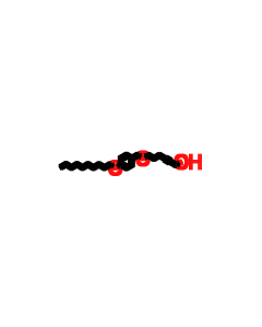 CCCCCCCCCCOc1ccc(COCCCC#CCO)cc1